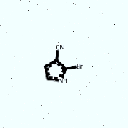 N#Cc1cc[nH]c1Br